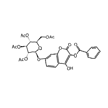 CC(=O)OC[C@H]1O[C@@H](Oc2ccc3c(O)c(OC(=O)c4ccccc4)c(=O)oc3c2)[C@H](OC(C)=O)[C@@H](OC(C)=O)[C@@H]1OC(C)=O